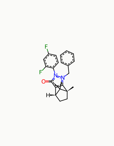 CC1(C)[C@@H]2CC[C@@]1(C)c1c2c(=O)n(-c2ccc(F)cc2F)n1Cc1ccccc1